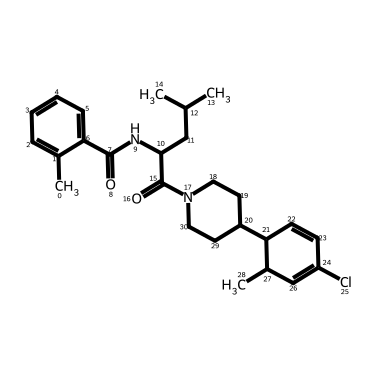 Cc1ccccc1C(=O)NC(CC(C)C)C(=O)N1CCC(C2C=CC(Cl)=CC2C)CC1